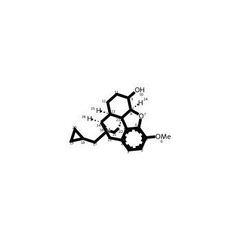 COc1ccc2c3c1O[C@@H]1C(O)CC[C@@H]4[C@H](C2)N(CC2CC2)CC[C@@]314